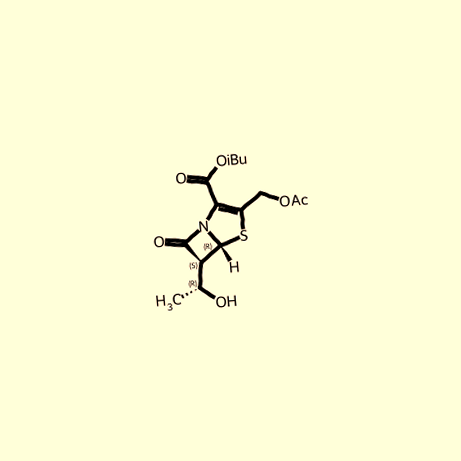 CC(=O)OCC1=C(C(=O)OCC(C)C)N2C(=O)[C@H]([C@@H](C)O)[C@H]2S1